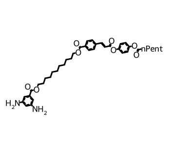 CCCCCC(=O)Oc1ccc(OC(=O)C=Cc2ccc(C(=O)OCCCCCCCCCCCOC(=O)c3cc(N)cc(N)c3)cc2)cc1